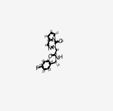 C[C@@H](NC(=O)Cn1ncc2cccn2c1=O)c1ccc(F)cc1